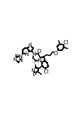 Cc1cc(OCCCc2c3n(c4c(-c5c(C)nn(C)c5C)c(Cl)ccc24)[C@H](C)CN(c2cn(C)c4ccc(-n5ncnn5)nc24)C3=O)cc(C)c1Cl